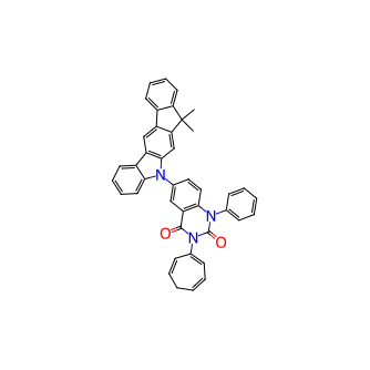 CC1(C)c2ccccc2-c2cc3c4ccccc4n(-c4ccc5c(c4)c(=O)n(C4=CC=CCC=C4)c(=O)n5-c4ccccc4)c3cc21